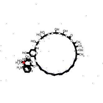 CC1OC(O[C@H]2/C=C/C=C/C=C/C=C/C=C/C=C/C=C/C(C)[C@@H](O)C(C)C(C)OC(=O)C[C@H](O)C[C@H](O)CC[C@@H](O)[C@H](O)C[C@H](O)C[C@]3(O)CC(O)[C@@H](C(=O)N[C@H](C)c4ccccc4)C(C2)O3)C(O)C(N)C1O